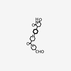 O=CC1CCN(C(=O)C2CCN(c3ccc(C4CCC(=O)NC4=O)cc3)CC2)CC1